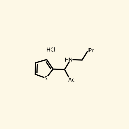 CC(=O)C(NCC(C)C)c1cccs1.Cl